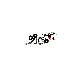 C/C=C\C=C(/C)C(N/N=C(\N)CSc1nnc(-c2ccc(C)o2)n1-c1c(OC)cccc1OC)(c1ccccc1)c1ccccc1